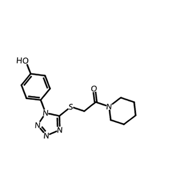 O=C(CSc1nnnn1-c1ccc(O)cc1)N1CCCCC1